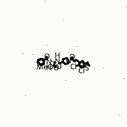 COC(=O)[C@H](CNC(=O)c1ccccc1)NC(=O)C1CCN(C(=O)/C=C/c2cc3ccsc3c(Cl)c2Cl)CC1